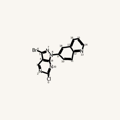 Clc1ncc2c(Br)nn(-c3ccc4ncccc4c3)c2n1